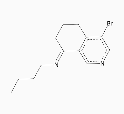 CCCC/N=C1\CCCc2c(Br)cncc21